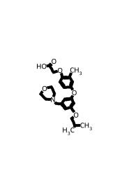 Cc1cc(Oc2cc(CN3CCOCC3)cc(OCC(C)C)c2)ccc1OCC(=O)O